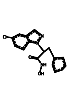 O=C(NO)C(Cc1ccccc1)n1ncc2cc(Cl)ccc21